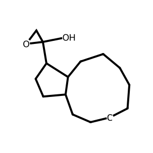 OC1(C2CCC3CCCCCCCCC32)CO1